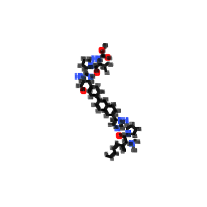 C=C(/C=C\C=C/C)[C@H](C(=O)N1CCC[C@H]1c1ncc(-c2ccc3cc(-c4ccc5c(c4)OCc4[nH]c([C@@H]6CCCN6C(=O)[C@@H](NC(=O)OC)C(C)C)nc4-5)ccc3c2)[nH]1)N(C)C